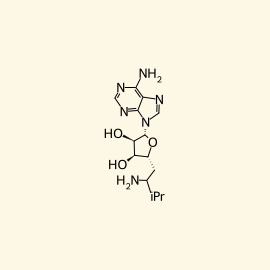 CC(C)C(N)C[C@H]1O[C@@H](n2cnc3c(N)ncnc32)[C@H](O)[C@@H]1O